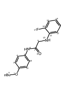 CCCCOc1ccc(NC(=O)CNc2ccccc2F)cc1